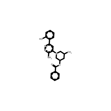 CC1CC(OC(=O)c2ccccc2)CN(c2cc(-c3ccccc3O)nnc2N)C1